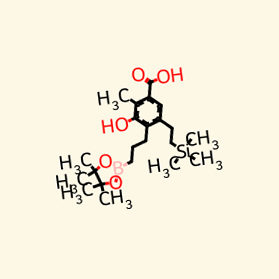 Cc1c(C(=O)O)cc(CC[Si](C)(C)C)c(CCCB2OC(C)(C)C(C)(C)O2)c1O